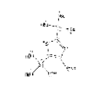 CCCCCCc1c[c]([Sn]([CH2]CCC)([CH2]CCC)[CH2]CCC)s[c]1[Sn]([CH2]CCC)([CH2]CCC)[CH2]CCC